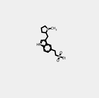 CCS(=O)(=O)CCc1ccc2[nH]cc(CC3CCCN3C)c2c1